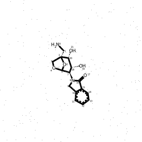 NC[C@@]12COC(O1)[C@H](N1Cc3ccccc3C1=O)[C@@H](O)[C@H]2O